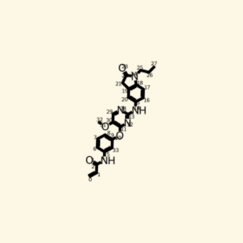 C=CC(=O)Nc1cccc(Oc2nc(Nc3ccc4c(c3)CC(=O)N4CCC)ncc2OC)c1